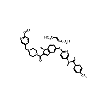 CCOc1ccc(CN2CCN(C(=O)c3cc4cc(Oc5ccc(N(C)C(=O)c6ccc(C(F)(F)F)cc6)cn5)ccc4n3C)CC2)cn1.O=C(O)C=CC(=O)O